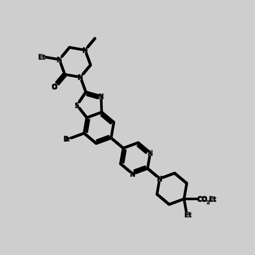 CCOC(=O)C1(CC)CCN(c2ncc(-c3cc(Br)c4sc(N5CN(C)CN(CC)C5=O)nc4c3)cn2)CC1